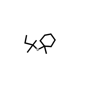 CCC(C)(C)OC1(C)CCCCC1